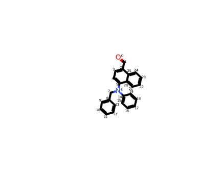 O=Cc1ccc(N(Cc2ccccc2)c2ccccc2)c2ccccc12